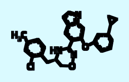 Cc1ccc(C[C@@H]2CON=C(c3cc4ccnn4cc3Oc3cccc(C4CC4)c3)N2)c(Cl)c1